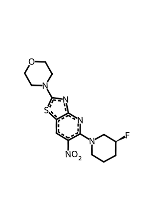 O=[N+]([O-])c1cc2sc(N3CCOCC3)nc2nc1N1CCC[C@H](F)C1